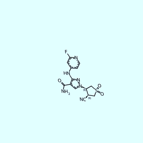 N#C[C@@H]1CS(=O)(=O)C[C@@H]1n1cc(C(N)=O)c(Nc2ccnc(F)c2)n1